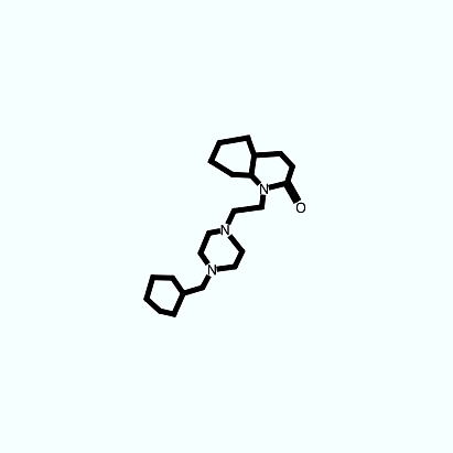 O=C1CCC2CCCCC2N1CCN1CCN(CC2CCCCC2)CC1